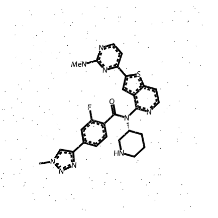 CNc1nccc(-c2cc3c(N(C(=O)c4ccc(-c5cn(C)nn5)cc4F)[C@@H]4CCCNC4)nccc3s2)n1